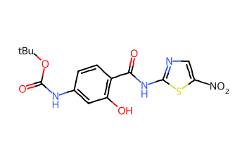 CC(C)(C)OC(=O)Nc1ccc(C(=O)Nc2ncc([N+](=O)[O-])s2)c(O)c1